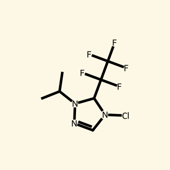 CC(C)N1N=CN(Cl)C1C(F)(F)C(F)(F)F